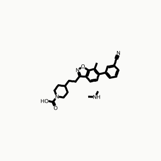 CNC.Cc1c(-c2cccc(C#N)c2)ccc2c(CCC3CCN(C(=O)O)CC3)noc12